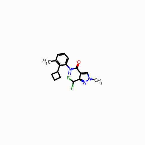 Cc1cccc(NC(=O)c2cn(C)nc2C(F)F)c1C1CCC1